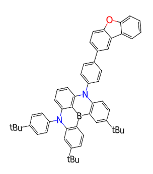 CC(C)(C)c1ccc(N2c3cc(C(C)(C)C)ccc3B3c4cc(C(C)(C)C)ccc4N(c4ccc(-c5ccc6oc7ccccc7c6c5)cc4)c4cccc2c43)cc1